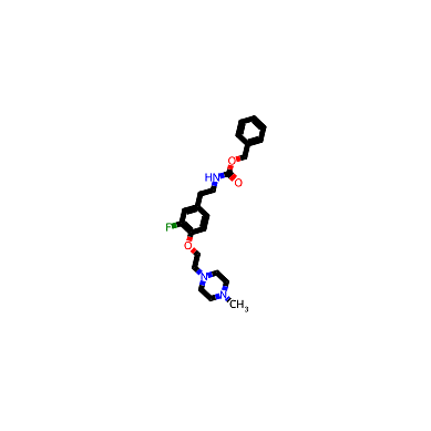 CN1CCN(CCOc2ccc(CCNC(=O)OCc3ccccc3)cc2F)CC1